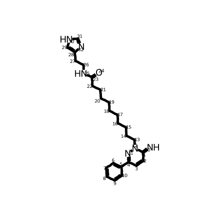 N=c1ccc(-c2ccccc2)nn1CCCCCCCCCCC(=O)NCCc1c[nH]cn1